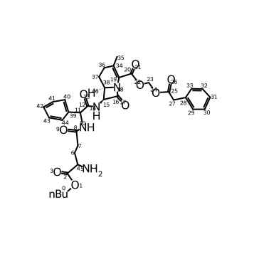 CCCCOC(=O)C(N)CCC(=O)NC(C(=O)N[C@@H]1C(=O)N2C(C(=O)OCOC(=O)Cc3ccccc3)=C(C)CC[C@H]12)c1ccccc1